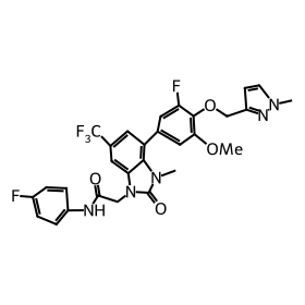 COc1cc(-c2cc(C(F)(F)F)cc3c2n(C)c(=O)n3CC(=O)Nc2ccc(F)cc2)cc(F)c1OCc1ccn(C)n1